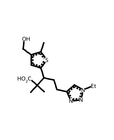 CCn1cc(CCC(c2cc(CO)c(C)s2)C(C)(C)C(=O)O)nn1